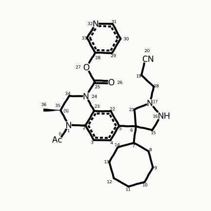 CC(=O)N1c2ccc(C3(C4CCCCCCC4)CNN(CCC#N)C3)cc2N(C(=O)Oc2cccnc2)C[C@@H]1C